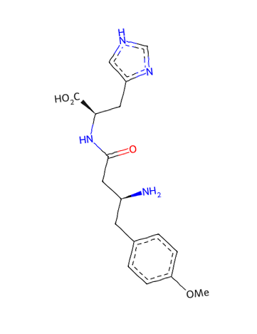 COc1ccc(C[C@H](N)CC(=O)N[C@H](Cc2c[nH]cn2)C(=O)O)cc1